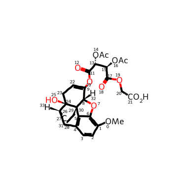 COc1ccc2c3c1O[C@H]1C(OC(=O)[C@H](OC(C)=O)[C@@H](OC(C)=O)C(=O)OCC(=O)O)=CC[C@@]4(O)[C@H](CCC[C@]314)C2